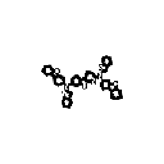 c1ccc2sc(N(c3ccc4c(c3)oc3ccccc34)c3ccc4c(c3)oc3nc(N(c5ccc6c(c5)oc5ccccc56)c5cc6ccccc6s5)ccc34)cc2c1